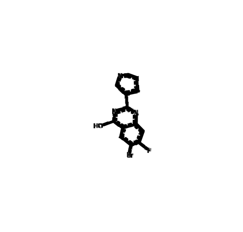 Oc1nc(-c2cccnc2)nc2cc(F)c(Br)cc12